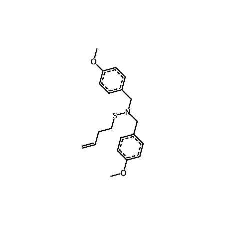 C=CCCSN(Cc1ccc(OC)cc1)Cc1ccc(OC)cc1